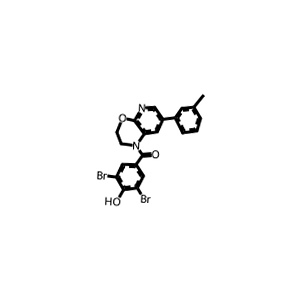 Cc1cccc(-c2cnc3c(c2)N(C(=O)c2cc(Br)c(O)c(Br)c2)CCO3)c1